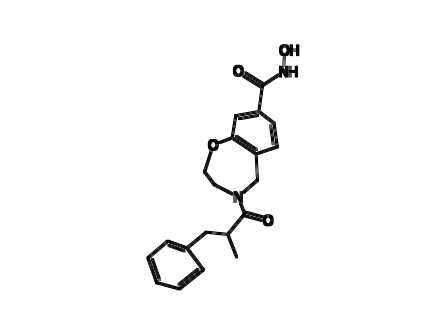 CC(Cc1ccccc1)C(=O)N1CCOc2cc(C(=O)NO)ccc2C1